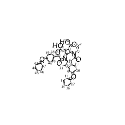 CCCN(C(=O)Cc1ccc(Oc2ccccc2)cc1)[C@@H]1[C@H](C(=O)O)[C@@H](C(=O)O)[C@H]1N(CCC)C(=O)Cc1ccc(Oc2ccccc2)cc1